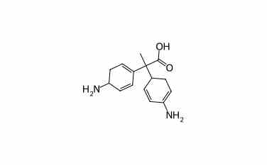 CC(C(=O)O)(C1=CCC(N)C=C1)C1C=CC(N)=CC1